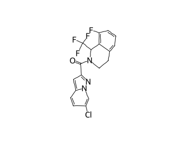 O=C(c1cc2ccc(Cl)cn2n1)N1CCc2cccc(F)c2C1C(F)(F)F